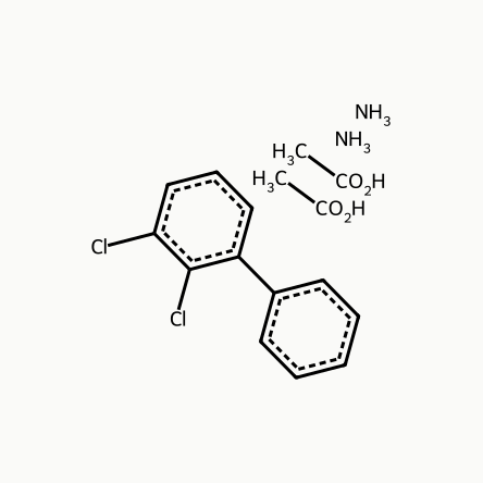 CC(=O)O.CC(=O)O.Clc1cccc(-c2ccccc2)c1Cl.N.N